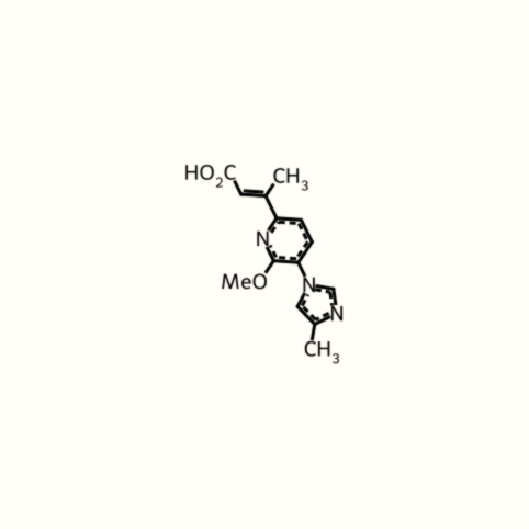 COc1nc(C(C)=CC(=O)O)ccc1-n1cnc(C)c1